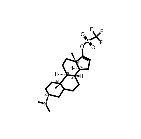 CN(C)[C@H]1CC[C@@]2(C)C(CC[C@@H]3[C@@H]2CC[C@]2(C)C(OS(=O)(=O)C(F)(F)F)=CC[C@@H]32)C1